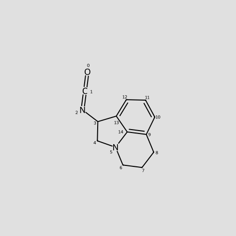 O=C=NC1CN2CCCc3cccc1c32